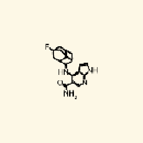 NC(=O)c1cnc2[nH]ccc2c1NC1C2CC3CC1CC(F)(C3)C2